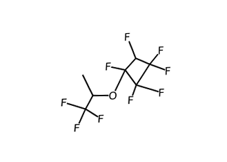 CC(OC1(F)C(F)C(F)(F)C1(F)F)C(F)(F)F